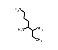 CCC(N)C(N)CCCN